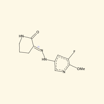 COc1ncc(N/N=C2\CCCNC2=O)cc1F